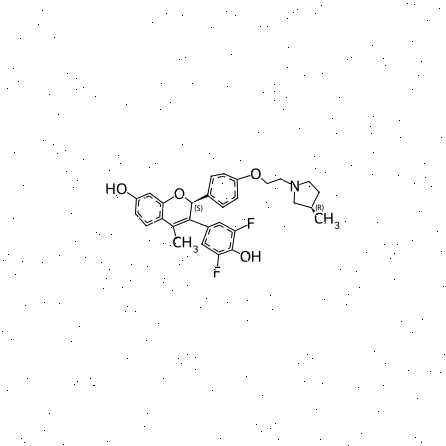 CC1=C(c2cc(F)c(O)c(F)c2)[C@H](c2ccc(OCCN3CC[C@@H](C)C3)cc2)Oc2cc(O)ccc21